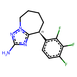 Nc1nc2n(n1)CCCC[C@H]2c1ccc(F)c(F)c1F